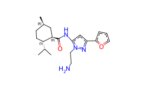 CC(C)[C@@H]1CC[C@@H](C)C[C@H]1C(=O)Nc1cc(-c2ccco2)nn1CCN